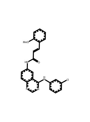 COc1ccccc1C=CC(=O)Nc1ccc2ncnc(Nc3cccc(Cl)c3)c2c1